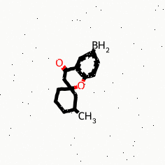 Bc1ccc2c(c1)C(=O)CC1(CCCC(C)C1)O2